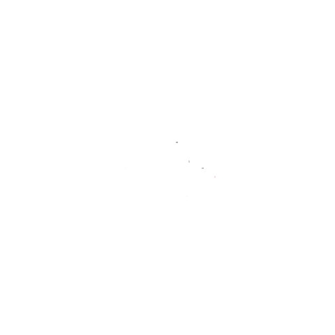 CCC(C)(COC(C(F)(F)F)C(F)(F)F)C(OO)C12CC3CC(O)(CC(O)(C3)C1)C2